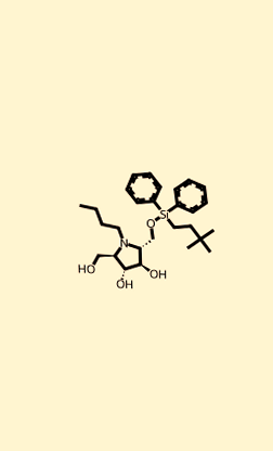 CCCCN1[C@H](CO)[C@@H](O)[C@H](O)[C@H]1CO[Si](CCC(C)(C)C)(c1ccccc1)c1ccccc1